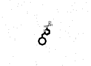 CCNNc1cccc(CC2CCCCCCC2)n1